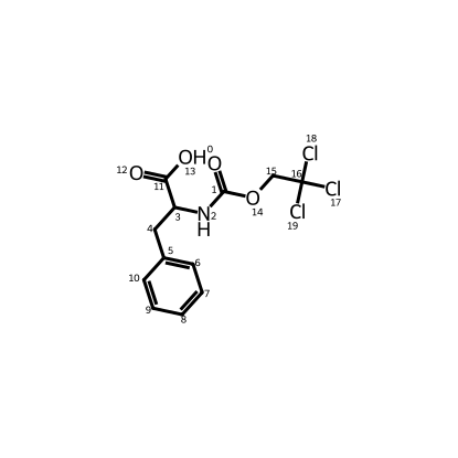 O=C(NC(Cc1ccccc1)C(=O)O)OCC(Cl)(Cl)Cl